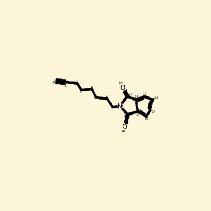 C#CCCCCCCN1C(=O)c2ccccc2C1=O